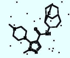 CN1CCN(c2c(C(=O)NC3CCC4CC5CC(C4)C3C5)cnn2C)CC1